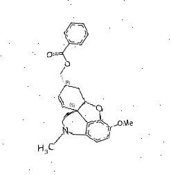 COc1ccc2c3c1OC1C[C@@H](COC(=O)c4ccccc4)C=C[C@@]31CCN(C)C2